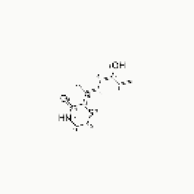 C=C/C(O)=C\C=C(/C)C1SCCNC1=O